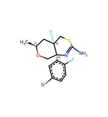 C[C@H]1C[C@@]2(F)CSC(N)=N[C@@]2(c2cc(Br)ccc2F)CO1